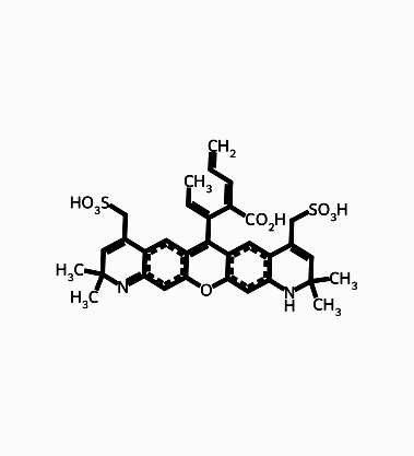 C=C/C=C(C(=O)O)\C(=C/C)C1=c2cc3c(cc2Oc2cc4c(cc21)C(CS(=O)(=O)O)=CC(C)(C)N4)=NC(C)(C)C=C3CS(=O)(=O)O